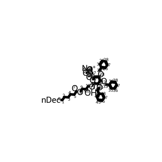 CCCCCCCCCCCCCCCC(=O)OCC(O)CO[C@H]1O[C@H](CS(=O)(=O)[O-])[C@H](OCc2ccccc2)[C@H](OCc2ccccc2)[C@H]1OCc1ccccc1.[Na+]